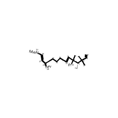 C=CC(C)(C)[C@H](C)C(C)(C=CCCCC(/C=C/NC)CCC)C(C)C